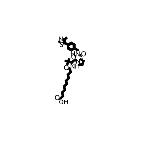 Cc1ncsc1-c1ccc(CNC(=O)[C@@H]2CCCN2C(=O)[C@@H](NC(=O)CCCCCCCCCC(=O)O)C(C)(C)C)cc1